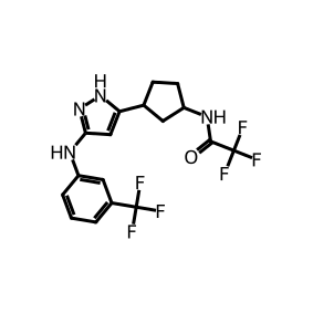 O=C(NC1CCC(c2cc(Nc3cccc(C(F)(F)F)c3)n[nH]2)C1)C(F)(F)F